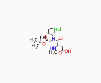 CN[C@@H](CC(=O)O)C(=O)N(CC(=O)OC(C)(C)C)c1ccccc1.Cl